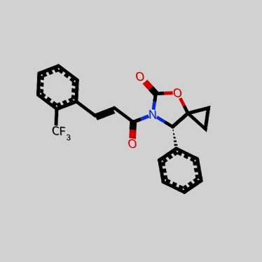 O=C(/C=C/c1ccccc1C(F)(F)F)N1C(=O)OC2(CC2)[C@@H]1c1ccccc1